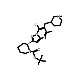 Cc1nc2cc([C@@H]3CCCCN3C(=O)OC(C)(C)C)nn2c(Cl)c1CC1CCCNC1